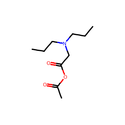 CCCN(CCC)CC(=O)OC(C)=O